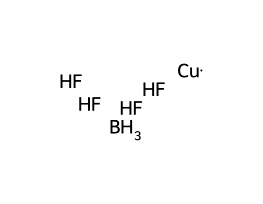 B.F.F.F.F.[Cu]